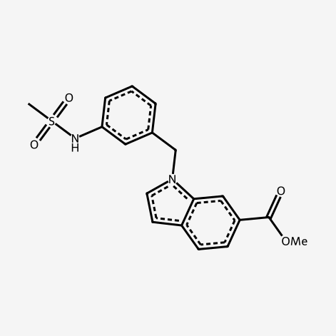 COC(=O)c1ccc2ccn(Cc3cccc(NS(C)(=O)=O)c3)c2c1